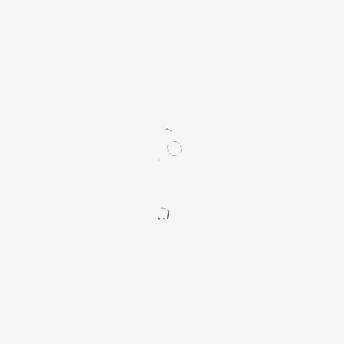 Cc1cc(CCCCCOc2c(Cl)cc(C3=NCCO3)cc2Br)on1